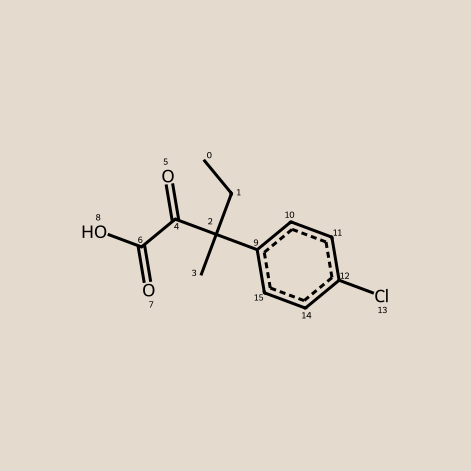 CCC(C)(C(=O)C(=O)O)c1ccc(Cl)cc1